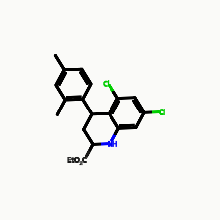 CCOC(=O)C1CC(c2ccc(C)cc2C)c2c(Cl)cc(Cl)cc2N1